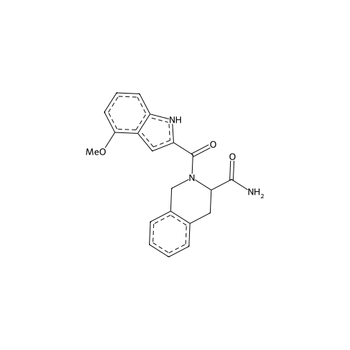 COc1cccc2[nH]c(C(=O)N3Cc4ccccc4CC3C(N)=O)cc12